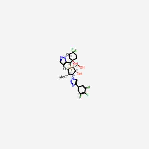 CO[C@H]1C[SH]([C@@H](c2c(C)cnn2C)C2(O)CCC(F)(F)CC2)[C@H](CO)[C@H](O)[C@@H]1n1cc(-c2cc(F)c(F)c(F)c2)nn1